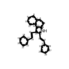 C(=C\c1[nH]c2ccc3ccccc3c2c1/C=C/c1ccccc1)/c1ccccc1